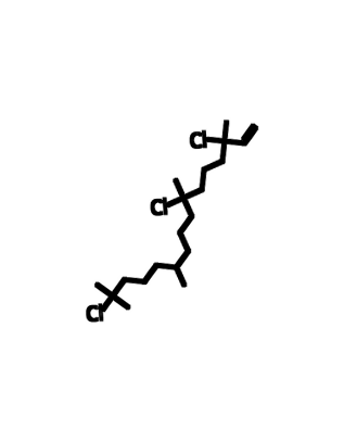 C=CC(C)(Cl)CCCC(C)(Cl)CCCC(C)CCCC(C)(C)Cl